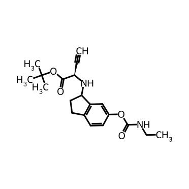 C#C[C@@H](NC1CCc2ccc(OC(=O)NCC)cc21)C(=O)OC(C)(C)C